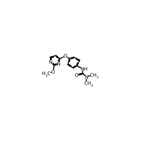 COc1nccc(Oc2ccc(NC(=O)N(C)C)cc2)n1